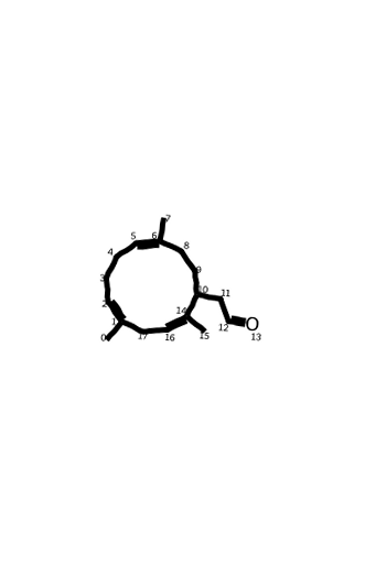 CC1=CCCC=C(C)CCC(CC=O)C(C)=CC1